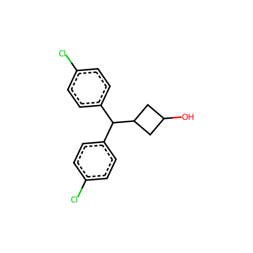 OC1CC(C(c2ccc(Cl)cc2)c2ccc(Cl)cc2)C1